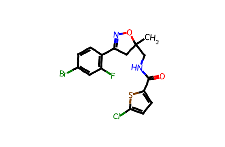 CC1(CNC(=O)c2ccc(Cl)s2)CC(c2ccc(Br)cc2F)=NO1